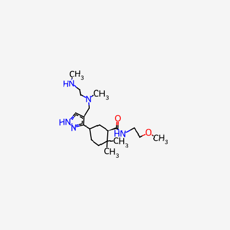 CNCCN(C)Cc1c[nH]nc1C1CCC(C)(C)[C@H](C(=O)NCCOC)C1